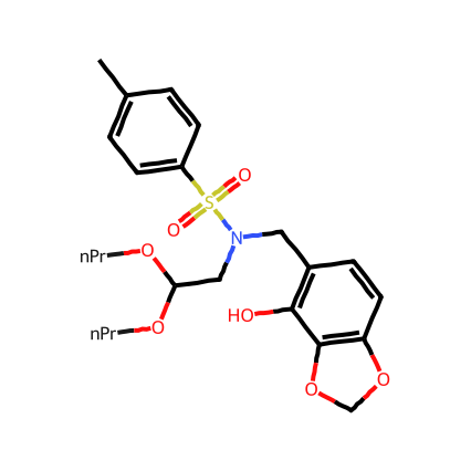 CCCOC(CN(Cc1ccc2c(c1O)OCO2)S(=O)(=O)c1ccc(C)cc1)OCCC